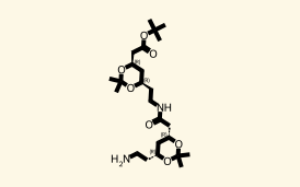 CC(C)(C)OC(=O)C[C@H]1C[C@@H](CCNC(=O)C[C@H]2C[C@@H](CCN)OC(C)(C)O2)OC(C)(C)O1